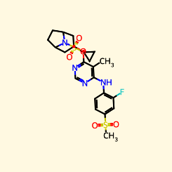 Cc1c(Nc2ccc(S(C)(=O)=O)cc2F)ncnc1OC1CC2CCC(C1)N2S(=O)(=O)C1CC1